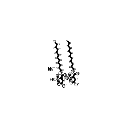 CCCCCCCCCCCCOC(=O)C(CC(=O)[O-])S(=O)(=O)O.CCCCCCCCCCCCOC(=O)C(CC(=O)[O-])S(=O)(=O)O.[K+].[K+]